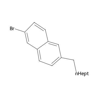 CCCCCCCCc1ccc2cc(Br)ccc2c1